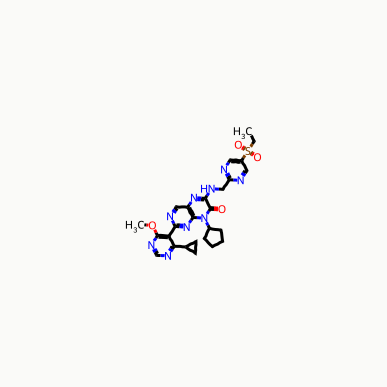 CCS(=O)(=O)c1cnc(CNc2nc3cnc(-c4c(OC)ncnc4C4CC4)nc3n(C3CCCC3)c2=O)nc1